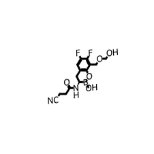 N#CCCC(=O)N[C@H]1Cc2cc(F)c(F)c(COCO)c2OB1O